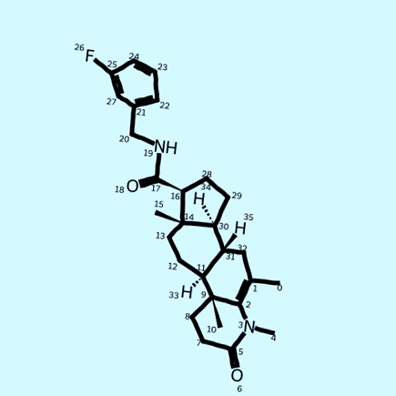 CC1=C2N(C)C(=O)CC[C@]2(C)[C@H]2CC[C@]3(C)[C@@H](C(=O)NCc4cccc(F)c4)CC[C@H]3[C@@H]2C1